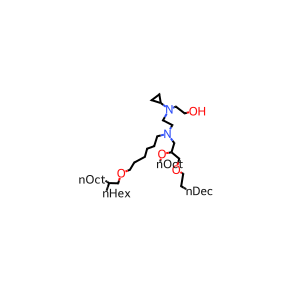 CCCCCCCCCCCCOCC(CN(CCCCCCOCC(CCCCCC)CCCCCCCC)CCN(CCO)C1CC1)OCCCCCCCC